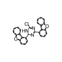 ClC1=NC(c2cccc3oc4ccccc4c23)=NC(c2cccc3oc4ccccc4c23)N1